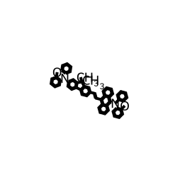 CC1(C)c2cc(/C=C/c3c4ccccc4c(N4c5ccccc5Oc5ccccc54)c4ccccc34)ccc2-c2ccc(N3c4ccccc4Oc4ccccc43)cc21